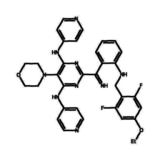 CCOc1cc(F)c(CNc2ccccc2C(=N)c2nc(Nc3ccncc3)c(N3CCOCC3)c(Nc3ccncc3)n2)c(F)c1